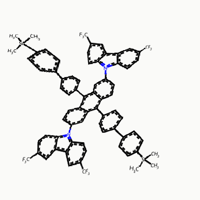 C[Si](C)(C)c1ccc(-c2ccc(-c3c4ccc(-n5c6ccc(C(F)(F)F)cc6c6cc(C(F)(F)F)ccc65)cc4c(-c4ccc(-c5ccc([Si](C)(C)C)cc5)cc4)c4ccc(-n5c6ccc(C(F)(F)F)cc6c6cc(C(F)(F)F)ccc65)cc34)cc2)cc1